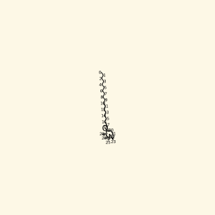 CCCCCCCCCCCCCCCCCCOC1CCN(C)C(C)(C)C1C